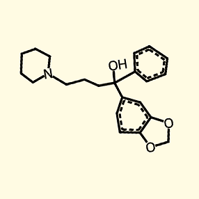 OC(CCCN1CCCCC1)(c1ccccc1)c1ccc2c(c1)OCO2